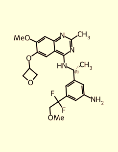 COCC(F)(F)c1cc(N)cc([C@@H](C)Nc2nc(C)nc3cc(OC)c(OC4COC4)cc23)c1